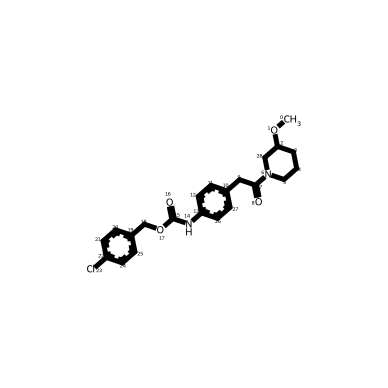 COC1CCCN(C(=O)Cc2ccc(NC(=O)OCc3ccc(Cl)cc3)cc2)C1